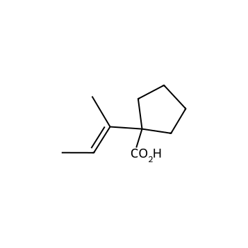 CC=C(C)C1(C(=O)O)CCCC1